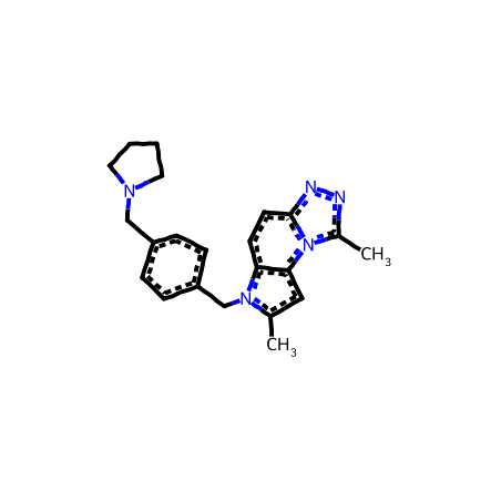 Cc1cc2c(ccc3nnc(C)n32)n1Cc1ccc(CN2CCCC2)cc1